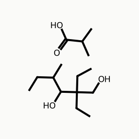 CC(C)C(=O)O.CCC(C)C(O)C(CC)(CC)CO